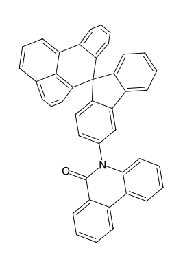 O=c1c2ccccc2c2ccccc2n1-c1ccc2c(c1)-c1ccccc1C21c2ccccc2-c2cccc3cccc1c23